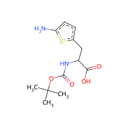 CC(C)(C)OC(=O)NC(Cc1ccc(N)s1)C(=O)O